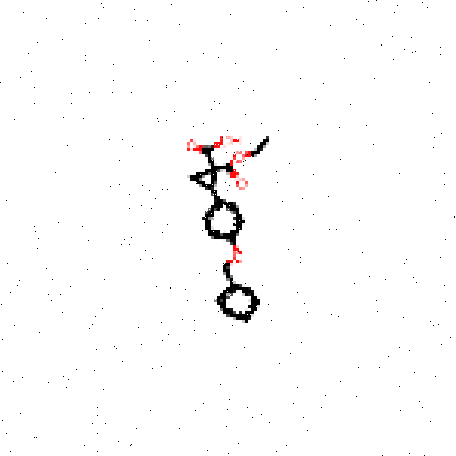 CCOC(=O)C1(C(=O)O)CC1c1ccc(OCc2ccccc2)cc1